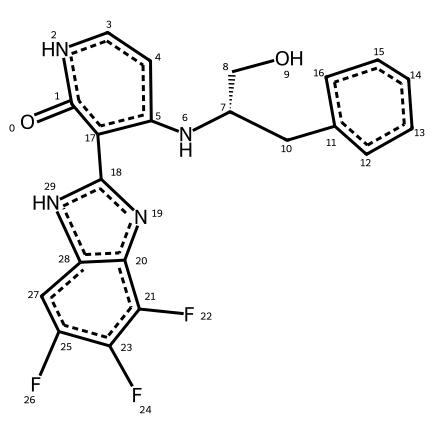 O=c1[nH]ccc(N[C@H](CO)Cc2ccccc2)c1-c1nc2c(F)c(F)c(F)cc2[nH]1